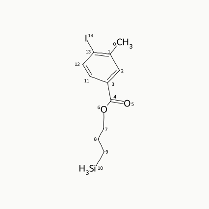 Cc1cc(C(=O)OCCC[SiH3])ccc1I